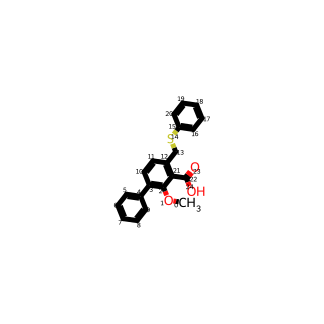 COc1c(-c2ccccc2)ccc(CSc2ccccc2)c1C(=O)O